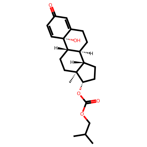 CC(C)COC(=O)O[C@H]1CC[C@H]2[C@@H]3CCC4=CC(=O)C=C[C@]4(O)[C@H]3CC[C@]12C